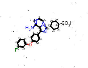 Nc1nccn2c1c(-c1ccc(Oc3cccc(F)c3)cc1)nc2[C@H]1CC[C@@H](C(=O)O)CC1